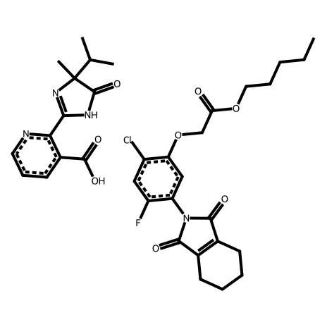 CC(C)C1(C)N=C(c2ncccc2C(=O)O)NC1=O.CCCCCOC(=O)COc1cc(N2C(=O)C3=C(CCCC3)C2=O)c(F)cc1Cl